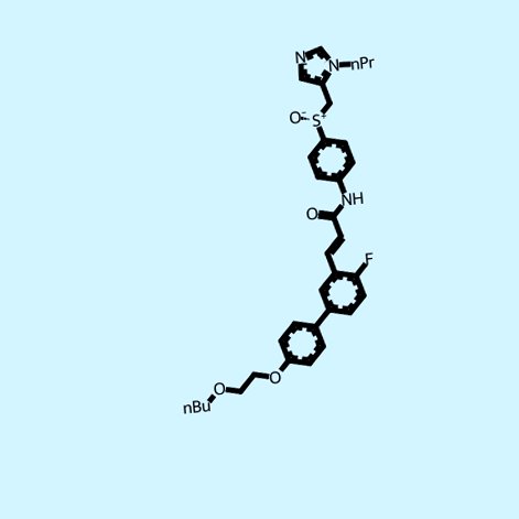 CCCCOCCOc1ccc(-c2ccc(F)c(/C=C/C(=O)Nc3ccc([S@+]([O-])Cc4cncn4CCC)cc3)c2)cc1